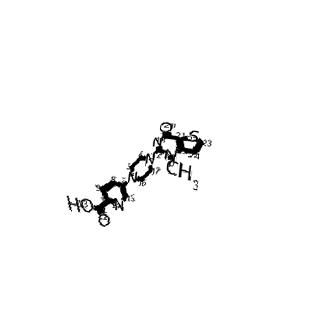 Cn1c(N2CCN(c3ccc(C(=O)O)nc3)CC2)nc(=O)c2sccc21